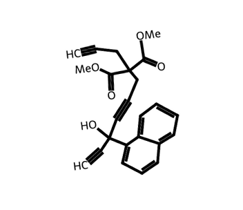 C#CCC(CC#CC(O)(C#C)c1cccc2ccccc12)(C(=O)OC)C(=O)OC